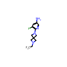 Nc1cnc(N2CC3(CN(CC(F)(F)F)C3)C2)c(F)c1